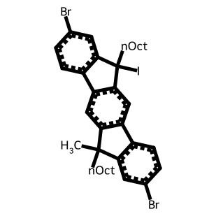 CCCCCCCCC1(C)c2cc(Br)ccc2-c2cc3c(cc21)-c1ccc(Br)cc1C3(I)CCCCCCCC